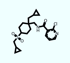 O=C(NCC1(CC2CC2)CCC(S(=O)(=O)CC2CC2)CC1)c1cccnc1Cl